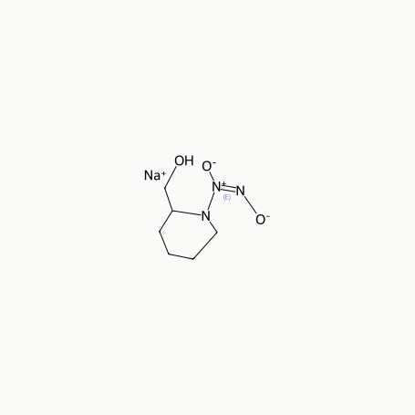 [Na+].[O-]/N=[N+](/[O-])N1CCCCC1CO